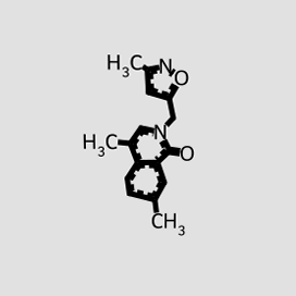 Cc1ccc2c(C)cn(Cc3cc(C)no3)c(=O)c2c1